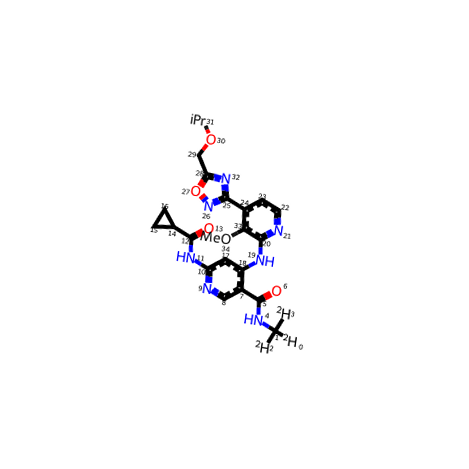 [2H]C([2H])([2H])NC(=O)c1cnc(NC(=O)C2CC2)cc1Nc1nccc(-c2noc(COC(C)C)n2)c1OC